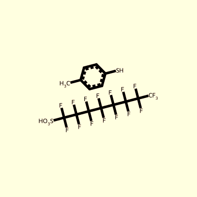 Cc1ccc(S)cc1.O=S(=O)(O)C(F)(F)C(F)(F)C(F)(F)C(F)(F)C(F)(F)C(F)(F)C(F)(F)C(F)(F)F